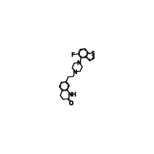 O=C1CCc2ccc(CCN3CCN(c4c(F)ccc5sccc45)CC3)cc2N1